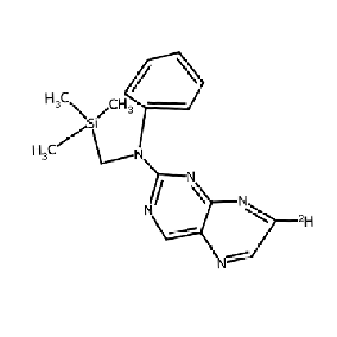 [2H]c1cnc2cnc(N(C[Si](C)(C)C)c3ccccc3)nc2n1